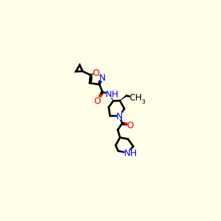 CC[C@H]1CN(C(=O)CC2CCNCC2)CC[C@@H]1NC(=O)c1cc(C2CC2)on1